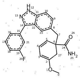 COC1=CC=CC(Cc2ccc3[nH]nc(-c4cccc(F)c4)c3c2)(C(N)=O)C1